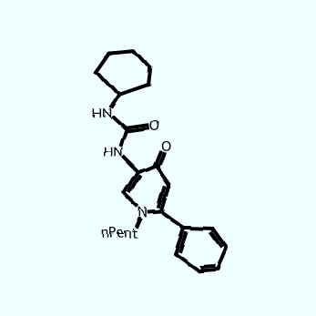 CCCCCn1cc(NC(=O)NC2CCCCC2)c(=O)cc1-c1ccccc1